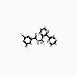 CC(NC(=O)c1cc(Cl)cc(C(F)(F)F)c1)c1nccnc1-c1cnccn1